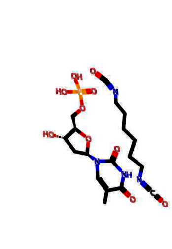 Cc1cn([C@H]2C[C@H](O)[C@@H](COP(=O)(O)O)O2)c(=O)[nH]c1=O.O=C=NCCCCCCN=C=O